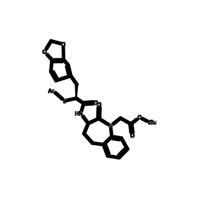 CC(=O)S[C@@H](Cc1ccc2c(c1)OCO2)C(=O)NC1CCc2ccccc2N(CC(=O)OC(C)(C)C)C1=O